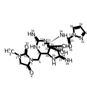 CN1CC(=O)N(CC2NC(=N)N3C[C@H](NC(=O)n4cccn4)C(O)(O)C34NC(=N)NC24)C1=O